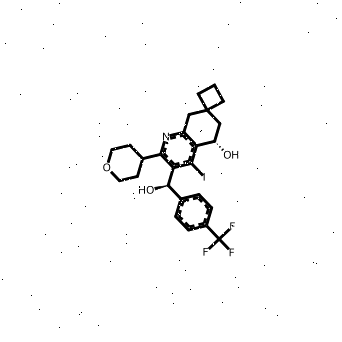 O[C@H](c1ccc(C(F)(F)F)cc1)c1c(C2CCOCC2)nc2c(c1I)[C@@H](O)CC1(CCC1)C2